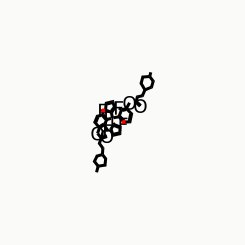 CC1CCC(CCC(=O)Oc2ccc(F)[c]([Ti]([C]3=CC=CC3)([C]3=CC=CC3)[c]3c(F)ccc(OC(=O)CCC4CCC(C)CC4)c3F)c2F)CC1